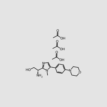 CC(=O)O.CC(=O)O.CC(=O)O.Cn1c(-c2ccc(N3CCOCC3)cc2)cnc1[C@@H](N)CO